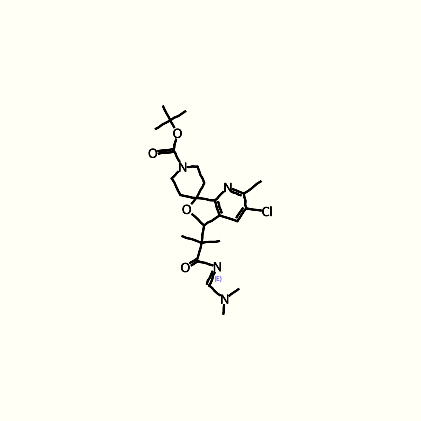 Cc1nc2c(cc1Cl)C(C(C)(C)C(=O)/N=C/N(C)C)OC21CCN(C(=O)OC(C)(C)C)CC1